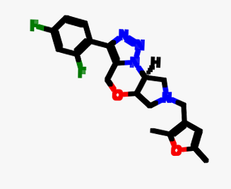 Cc1cc(CN2CC3OCc4c(-c5ccc(F)cc5F)nnn4[C@H]3C2)c(C)o1